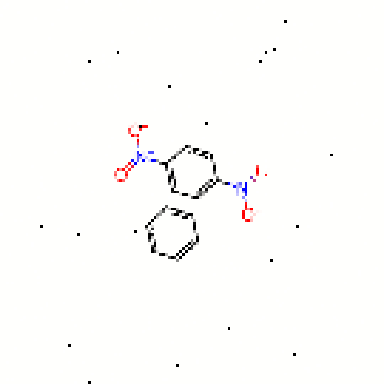 O=[N+]([O-])c1ccc([N+](=O)[O-])cc1.c1ccccc1